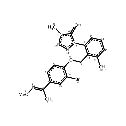 CO/N=C(\C)c1ccc(OCc2c(C)cccc2-n2nnn(C)c2=O)c(Br)c1